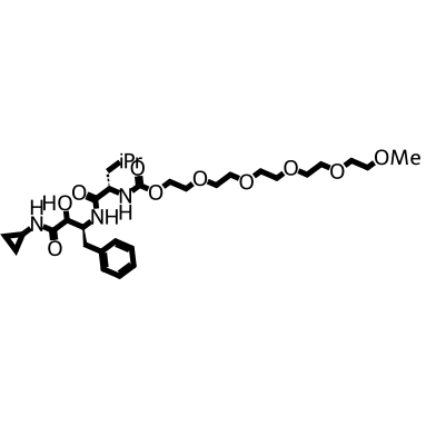 COCCOCCOCCOCCOCCOC(=O)N[C@@H](CC(C)C)C(=O)N[C@@H](Cc1ccccc1)C(O)C(=O)NC1CC1